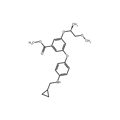 COC[C@H](C)Oc1cc(Oc2ccc(NCC3CC3)cc2)cc(C(=O)OC)c1